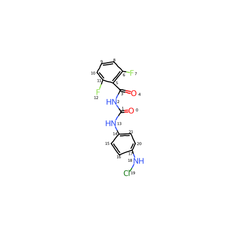 O=C(NC(=O)c1c(F)cccc1F)Nc1ccc(NCl)cc1